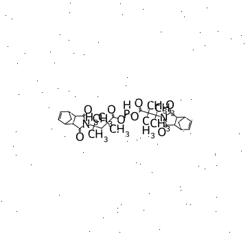 CC(C)(CC(C)(C)N1C(=O)C2C3C=CC(C3)C2C1=O)C(=O)OPOC(=O)C(C)(C)C(C)(C)N1C(=O)C2C3C=CC(C3)C2C1=O